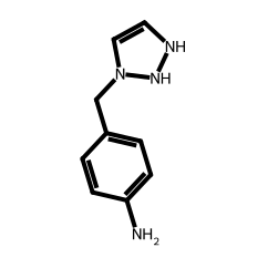 Nc1ccc(CN2C=CNN2)cc1